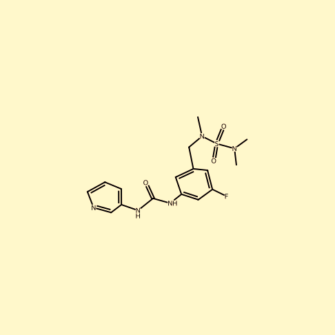 CN(C)S(=O)(=O)N(C)Cc1cc(F)cc(NC(=O)Nc2cccnc2)c1